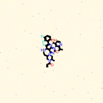 C=CC(=O)N1CC2CCNc3c(F)c(-c4c(O)ccc(F)c4F)nc4c3c(nc(=O)n4-c3c(C)ccnc3C(C)C)N2CC1C